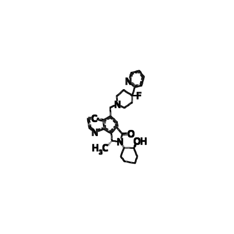 C[C@@H]1c2c(cc(CN3CCC(F)(c4ccccn4)CC3)c3cccnc23)C(=O)N1[C@H]1CCCC[C@@H]1O